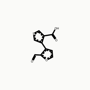 O=Cc1occc1-c1cscc1C(=O)O